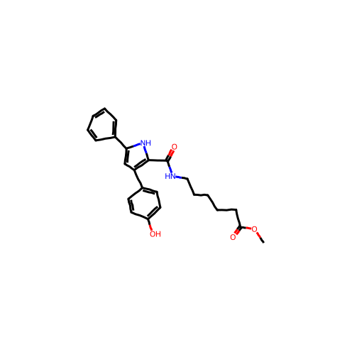 COC(=O)CCCCCNC(=O)c1[nH]c(-c2ccccc2)cc1-c1ccc(O)cc1